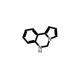 c1ccc2c(c1)NCn1cccc1-2